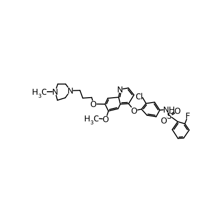 COc1cc2c(Oc3ccc(NS(=O)(=O)c4ccccc4F)cc3Cl)ccnc2cc1OCCCN1CCN(C)CC1